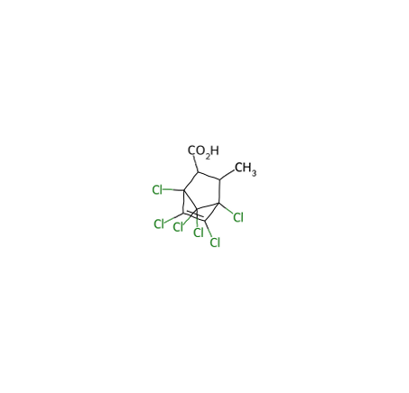 CC1C(C(=O)O)C2(Cl)C(Cl)=C(Cl)C1(Cl)C2(Cl)Cl